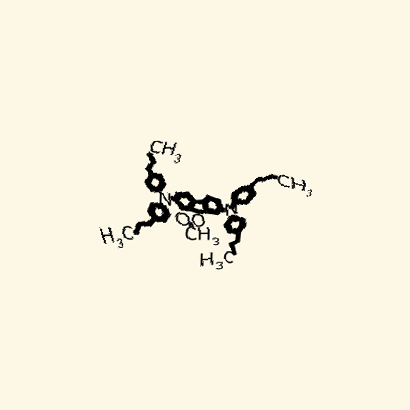 CCCCc1ccc(N(c2ccc(CCCC)cc2)c2ccc3c(c2)C(OC(C)=O)c2cc(N(c4ccc(CCCC)cc4)c4ccc(CCCC)cc4)ccc2-3)cc1